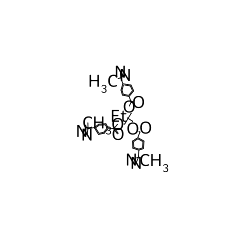 CCC(COC(=O)c1ccc(C2(C)N=N2)cc1)(COC(=O)c1ccc(C2(C)N=N2)cc1)COC(=O)c1ccc(C2(C)N=N2)cc1